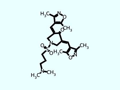 Cc1noc(C)c1/C=C1/CN(S(=O)(=O)CCCN(C)C)C/C(=C\c2c(C)noc2C)C1=O